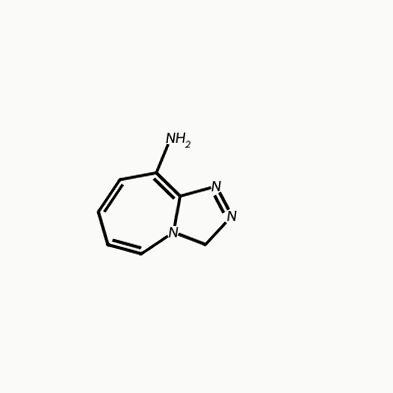 NC1=C2N=NCN2C=CC=C1